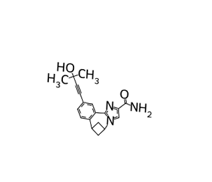 CC(C)(O)C#Cc1ccc2c(c1)-c1nc(C(N)=O)cn1C1CC2C1